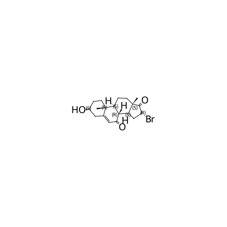 C[C@]12CC[C@H](O)CC1=CC(=O)[C@@H]1[C@@H]2CC[C@]2(C)C(=O)[C@H](Br)C[C@@H]12